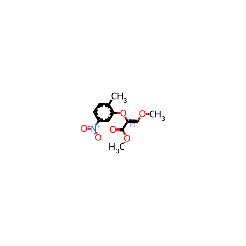 CO/C=C(\Oc1cc([N+](=O)[O-])ccc1C)C(=O)OC